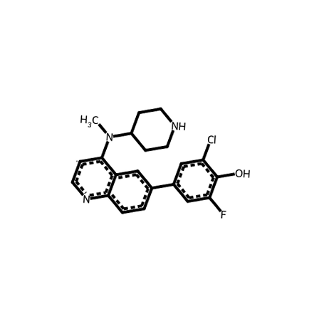 CN(c1[c]cnc2ccc(-c3cc(F)c(O)c(Cl)c3)cc12)C1CCNCC1